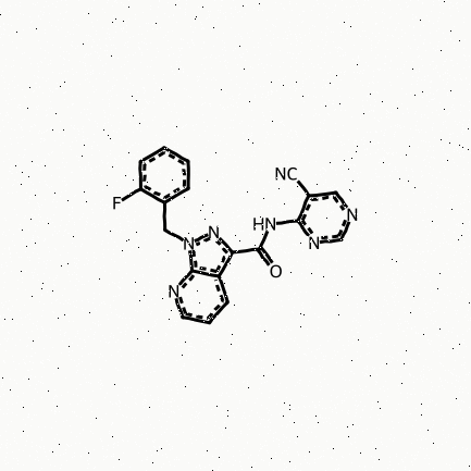 N#Cc1cncnc1NC(=O)c1nn(Cc2ccccc2F)c2ncccc12